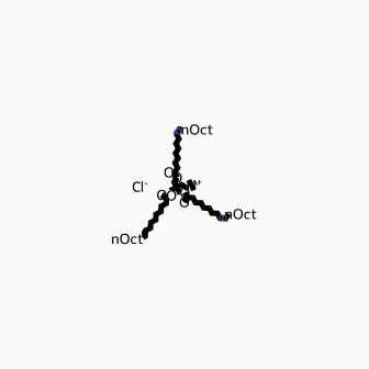 CCCCCCCCC=CCCCCCCCC(=O)OCC(CC[N+](C)(C)C)(COC(=O)CCCCCCC/C=C\CCCCCCCC)COC(=O)CCCCCCC/C=C\CCCCCCCC.[Cl-]